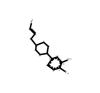 FC=CCC1CCC(c2ccc(F)c(F)c2)CC1